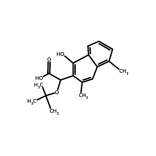 Cc1cc2c(C)cccc2c(O)c1C(OC(C)(C)C)C(=O)O